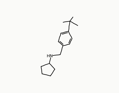 CC(C)(C)c1ccc(CNC2CCCC2)cc1